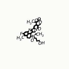 CCN(C(=O)CCCO)[C@H]1CCc2c(C)c(F)cc3nc4c(c1c23)Cn1c-4cc2c(c1=O)COC(=O)[C@]2(O)CC